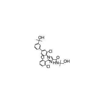 CC(C)(CO)NC(=O)c1cn(-c2ccc(-c3cccc(C(C)(C)O)c3)cc2Cl)c(-c2c(Cl)cccc2Cl)n1